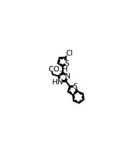 O=C(O)Cc1[nH]c(-c2cc3ccccc3s2)nc1-c1ccc(Cl)s1